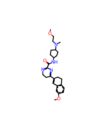 COCCN(C)C1CCC(NC(=O)C2=NCCC(C3=Cc4cc(OC)ccc4CC3)=N2)CC1